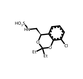 CCC1(CC)Oc2c(Cl)cccc2[C@H](CNS(=O)(=O)O)O1